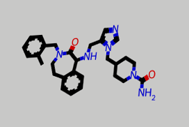 Cc1ccccc1CN1CCc2ccccc2C(NCc2cncn2CC2CCN(C(N)=O)CC2)C1=O